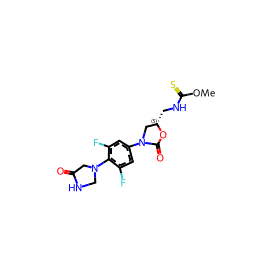 COC(=S)NC[C@H]1CN(c2cc(F)c(N3CNC(=O)C3)c(F)c2)C(=O)O1